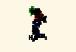 CN(C)c1ccc(CN2CCC(N(C3CC3)S(=O)(=O)c3cccc(C(F)(F)F)c3)CC2)cc1